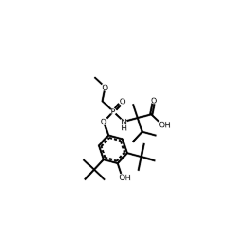 COCP(=O)(NC(C)(C(=O)O)C(C)C)Oc1cc(C(C)(C)C)c(O)c(C(C)(C)C)c1